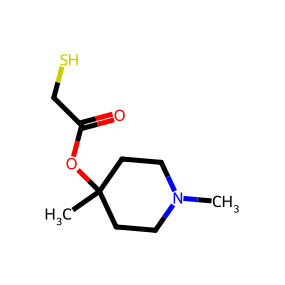 CN1CCC(C)(OC(=O)CS)CC1